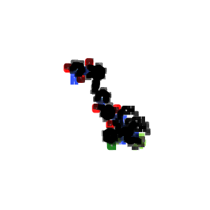 C[C@@H]1CN(C(=O)[C@@H]2N[C@@H](CC(C)(C)C)[C@@]3(CNc4cc(C(F)(F)F)ncc43)[C@H]2c2cccc(Cl)c2F)c2ccc(C(=O)N3CCC[C@@H](CC#Cc4cccc5c4CN([C@@H]4CCC(=O)NC4=O)C5=O)C3)cc2O1